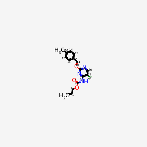 C=CCOC(=O)Nc1nc(OCc2ccc(C)cc2)ncc1F